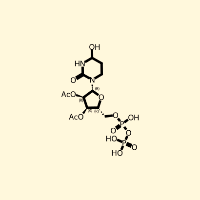 CC(=O)O[C@@H]1[C@H](OC(C)=O)[C@@H](COP(=O)(O)OP(=O)(O)O)O[C@H]1N1CCC(O)NC1=O